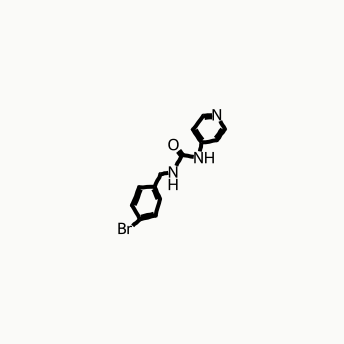 O=C(NCc1ccc(Br)cc1)Nc1ccncc1